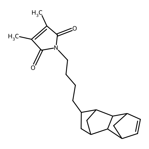 CC1=C(C)C(=O)N(CCCCC2CC3CC2C2C4C=CC(C4)C32)C1=O